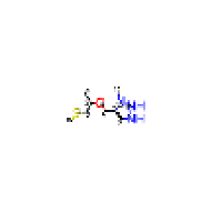 CSCC(C)OCC1=CNNN1C